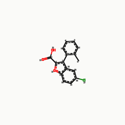 Cc1ccccc1-c1c(C(=O)O)oc2ccc(Cl)cc12